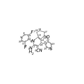 N#CC1=C(N)N(c2c(F)cccc2F)C2=C(C(=O)CCC2)C1c1ccsc1